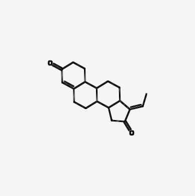 C/C=C1/C(=O)CC2C1CCC1C3CCC(=O)C=C3CCC12